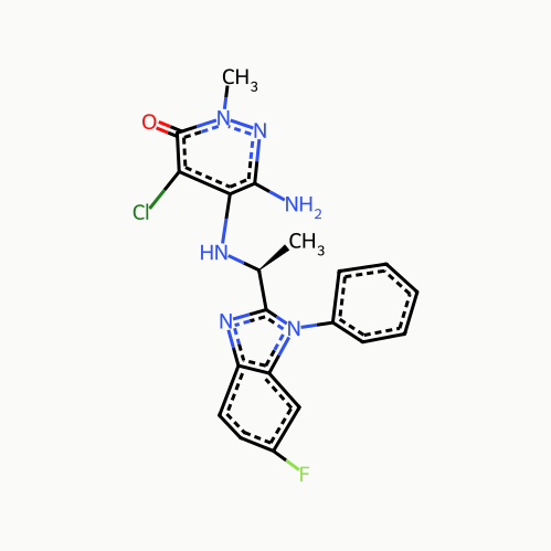 C[C@H](Nc1c(N)nn(C)c(=O)c1Cl)c1nc2ccc(F)cc2n1-c1ccccc1